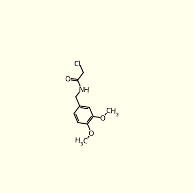 COc1ccc(CNC(=O)CCl)cc1OC